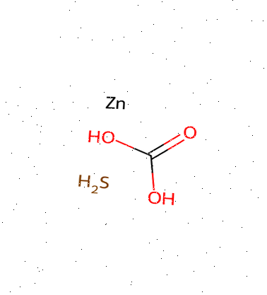 O=C(O)O.S.[Zn]